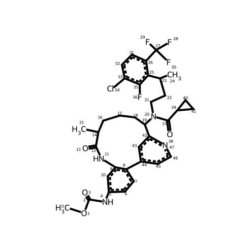 COC(=O)Nc1ccc2c(c1)NC(=O)C(C)CCCC(N(CCC(C)c1c(C(F)(F)F)ccc(Cl)c1F)C(=O)C1CC1)c1cc-2ccn1